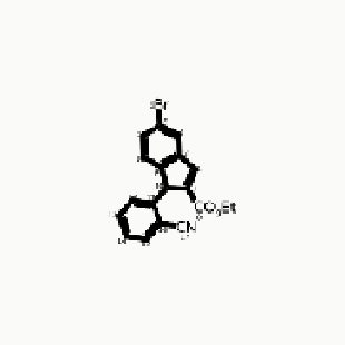 CCOC(=O)C1=Cc2cc(Br)ccc2C1c1ccccc1C#N